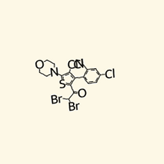 N#Cc1c(N2CCOCC2)sc(C(=O)C(Br)Br)c1-c1ccc(Cl)cc1Cl